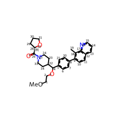 COCCOC(c1ccc(-c2ccc3cccnc3c2C)cc1)C1CCN(C(=O)[C@H]2CCCO2)CC1